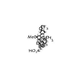 COc1cc(-c2cccc(OC(F)(F)F)c2)cc(N(C(=O)NCCC(=O)O)c2c(O)ccn(C)c2=O)c1